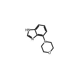 c1cc(N2CCOCC2)c2nc[nH]c2c1